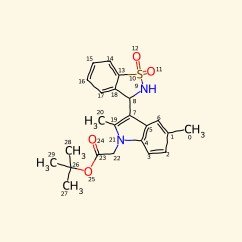 Cc1ccc2c(c1)c(C1NS(=O)(=O)c3ccccc31)c(C)n2CC(=O)OC(C)(C)C